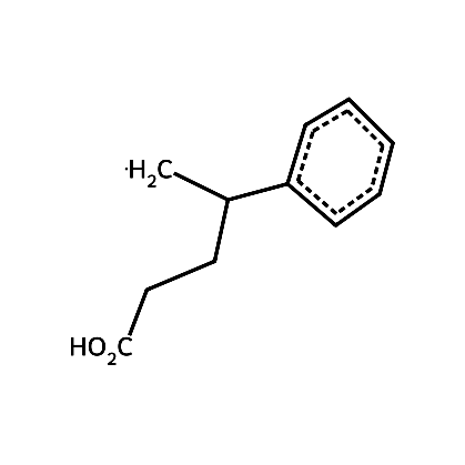 [CH2]C(CCC(=O)O)c1ccccc1